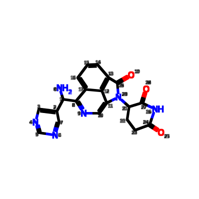 NC(c1cncnc1)c1ncc2c3c(cccc13)C(=O)N2C1CCC(=O)NC1=O